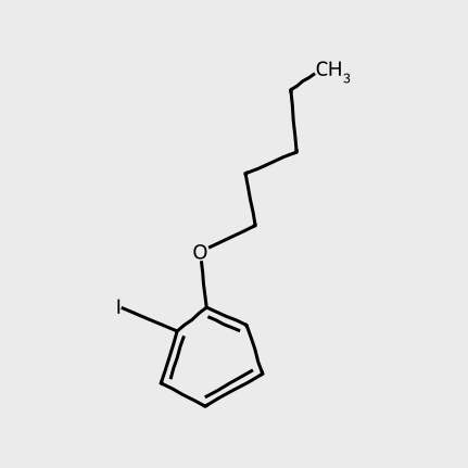 CCCCCOc1ccccc1I